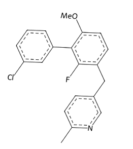 COc1ccc(Cc2ccc(C)nc2)c(F)c1-c1cccc(Cl)c1